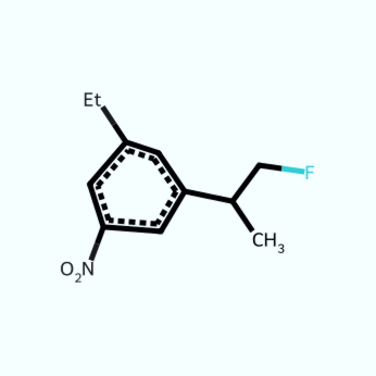 CCc1cc([C](C)CF)cc([N+](=O)[O-])c1